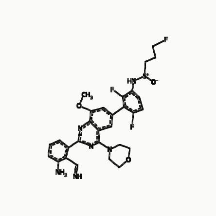 COc1cc(-c2c(F)ccc(N[S+]([O-])CCCF)c2F)cc2c(N3CCOCC3)nc(-c3cccc(N)c3C=N)nc12